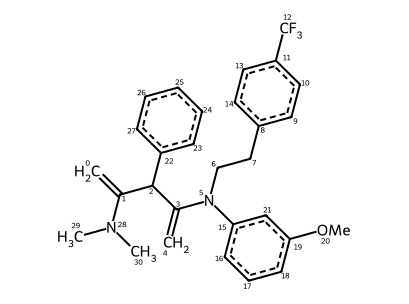 C=C(C(C(=C)N(CCc1ccc(C(F)(F)F)cc1)c1cccc(OC)c1)c1ccccc1)N(C)C